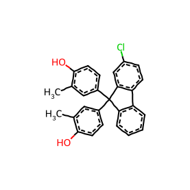 Cc1cc(C2(c3ccc(O)c(C)c3)c3ccccc3-c3ccc(Cl)cc32)ccc1O